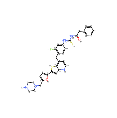 CN1CCN(Cc2ccc(-c3cc4nccc(Cc5ccc(NC(=S)NC(=O)Cc6ccccc6)cc5F)c4s3)o2)CC1